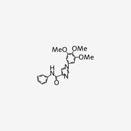 COc1cc(-n2cnc(C(=O)Nc3ccccc3)c2)cc(OC)c1OC